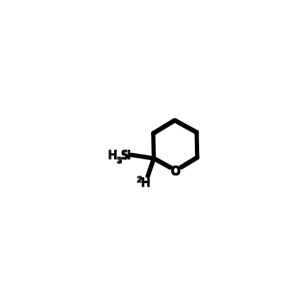 [2H]C1([SiH3])CCCCO1